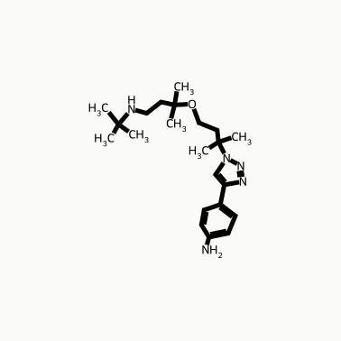 CC(C)(C)NCCC(C)(C)OCCC(C)(C)n1cc(-c2ccc(N)cc2)nn1